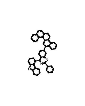 c1ccc(-c2nc(-c3cccc4oc5ccccc5c34)c3ccc(-c4cc5c(ccc6ccc7ccccc7c65)c5ccccc45)cc3n2)cc1